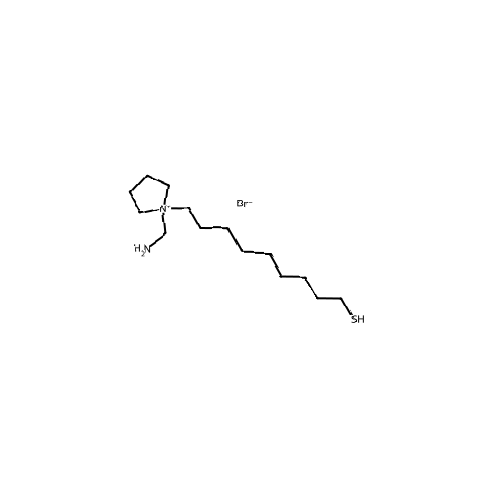 NC[N+]1(CCCCCCCCCS)CCCC1.[Br-]